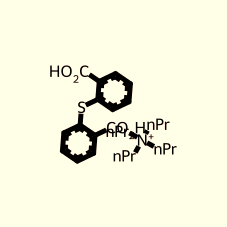 CCC[N+](CCC)(CCC)CCC.O=C(O)c1ccccc1Sc1ccccc1C(=O)O